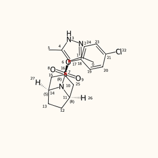 Cc1n[nH]c(C)c1S(=O)(=O)N1[C@@H]2CC[C@H]1C[C@@H](Oc1ccc(Cl)cc1)C2